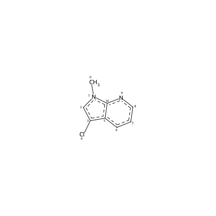 Cn1cc(Cl)c2c[c]cnc21